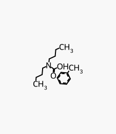 CCCCN(CCCC)C(=O)O.Cc1ccccc1